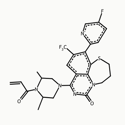 C=CC(=O)N1C(C)CN(c2nc(=O)n3c4c(c(-c5ccc(F)cn5)c(C(F)(F)F)cc24)SCCC3)CC1C